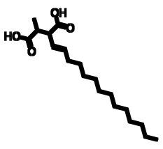 CCCCCCCCCCCCC=CC(C(=O)O)C(C)C(=O)O